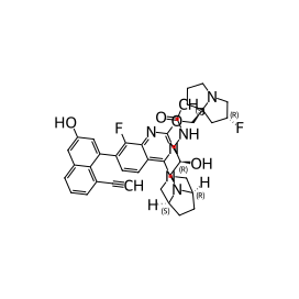 C#Cc1cccc2cc(O)cc(-c3ccc4c(N5C[C@H]6CC[C@@H](C5)N6C[C@H](O)CNC(C)=O)nc(OC[C@@]56CCCN5C[C@H](F)C6)nc4c3F)c12